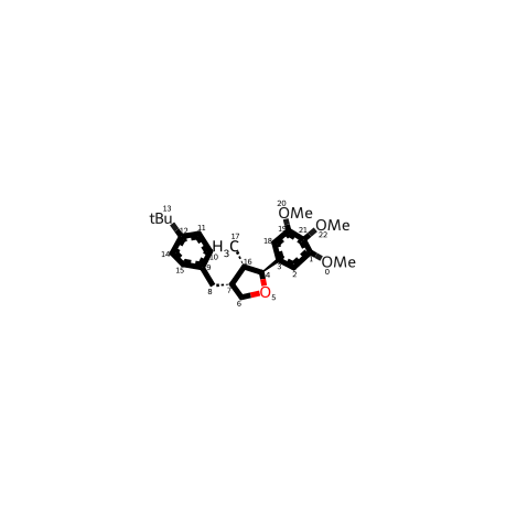 COc1cc([C@H]2OC[C@H](Cc3ccc(C(C)(C)C)cc3)[C@@H]2C)cc(OC)c1OC